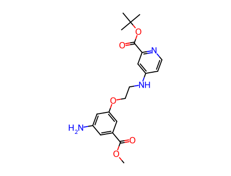 COC(=O)c1cc(N)cc(OCCNc2ccnc(C(=O)OC(C)(C)C)c2)c1